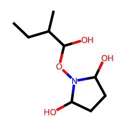 CCC(C)C(O)ON1C(O)CCC1O